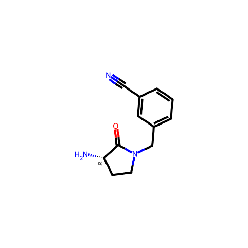 N#Cc1cccc(CN2CC[C@H](N)C2=O)c1